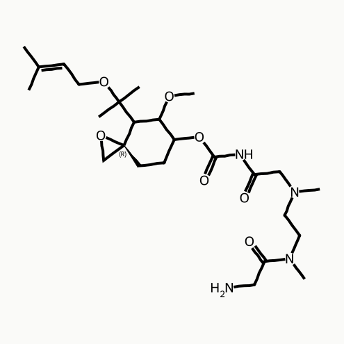 COC1C(OC(=O)NC(=O)CN(C)CCN(C)C(=O)CN)CC[C@]2(CO2)C1C(C)(C)OCC=C(C)C